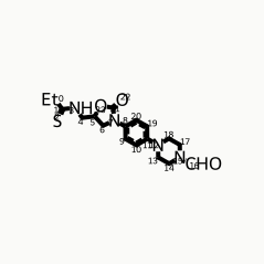 CCC(=S)NCC1CN(c2ccc(N3CCN(C=O)CC3)cc2)C(=O)O1